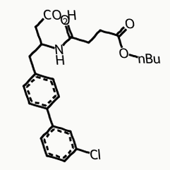 CCCCOC(=O)CCC(=O)NC(CC(=O)O)Cc1ccc(-c2cccc(Cl)c2)cc1